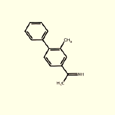 CC(=N)c1ccc(-c2ccccc2)c(C)c1